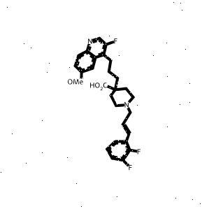 COc1ccc2ncc(F)c(CCCC3(C(=O)O)CCN(CC=Cc4cccc(F)c4F)CC3)c2c1